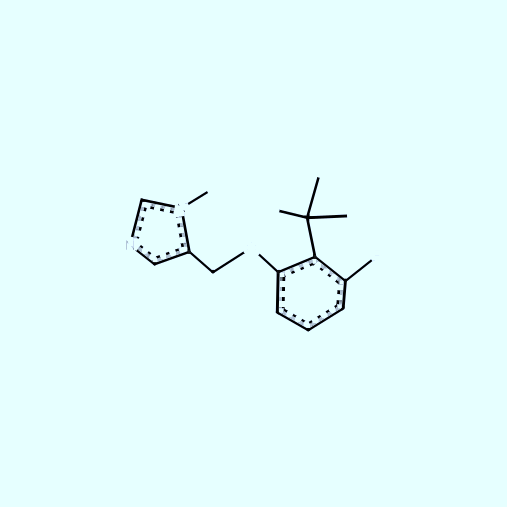 Cn1cncc1COc1cccc(F)c1C(C)(C)C